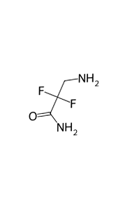 NCC(F)(F)C(N)=O